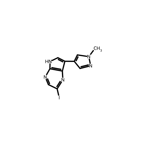 Cn1cc(-c2c[nH]c3ncc(I)nc23)cn1